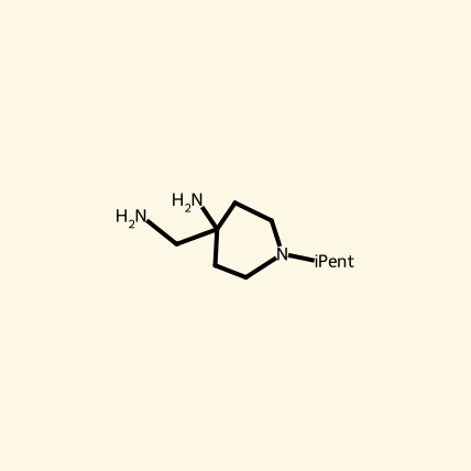 CCCC(C)N1CCC(N)(CN)CC1